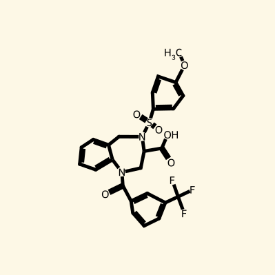 COc1ccc(S(=O)(=O)N2Cc3ccccc3N(C(=O)c3cccc(C(F)(F)F)c3)CC2C(=O)O)cc1